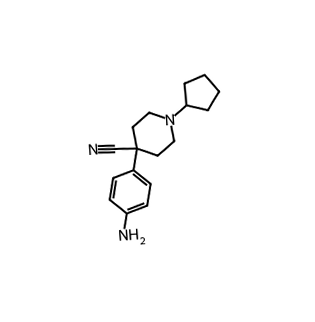 N#CC1(c2ccc(N)cc2)CCN(C2CCCC2)CC1